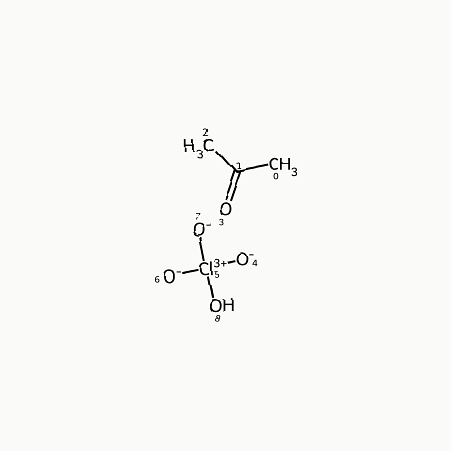 CC(C)=O.[O-][Cl+3]([O-])([O-])O